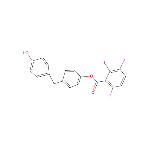 O=C(Oc1ccc(Cc2ccc(O)cc2)cc1)c1c(I)ccc(I)c1I